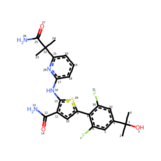 CC(C)(O)c1cc(F)c(-c2cc(C(N)=O)c(Nc3cccc(C(C)(C)C(N)=O)n3)s2)c(F)c1